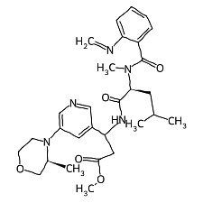 C=Nc1ccccc1C(=O)N(C)[C@@H](CC(C)C)C(=O)NC(CC(=O)OC)c1cncc(N2CCOC[C@@H]2C)c1